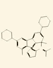 C[C](C)=[Zr]([C]1=CC=CC1)[C]1(C)C=C(C2CCCCC2)C=C2C1=Cc1c(C)cc(C3CCCCC3)cc12.Cl.Cl